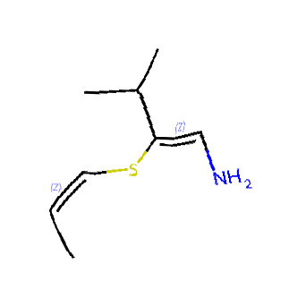 C/C=C\S/C(=C\N)C(C)C